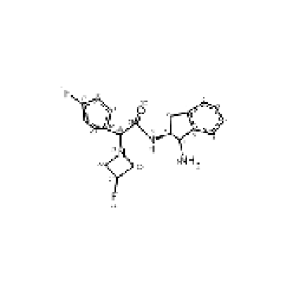 NC1c2ccccc2C[C@@H]1NC(=O)C(c1ccc(F)cc1)N1CC(F)C1